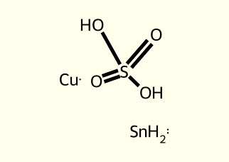 O=S(=O)(O)O.[Cu].[SnH2]